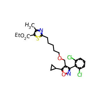 CCOC(=O)c1sc(CCCCCOCc2c(-c3c(Cl)cccc3Cl)noc2C2CC2)nc1C